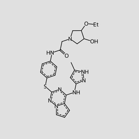 CCOC1CN(CC(=O)Nc2ccc(Sc3nc(Nc4cc(C)[nH]n4)c4cccn4n3)cc2)CC1O